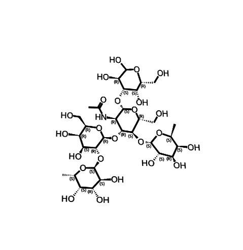 CC(=O)N[C@H]1[C@H](O[C@H]2[C@@H](O)[C@@H](CO)OC(O)[C@@H]2O)O[C@H](CO)[C@@H](O[C@@H]2O[C@@H](C)[C@@H](O)[C@@H](O)[C@@H]2O)[C@@H]1O[C@@H]1O[C@H](CO)[C@H](O)[C@H](O)[C@H]1O[C@@H]1O[C@@H](C)[C@@H](O)[C@@H](O)[C@@H]1O